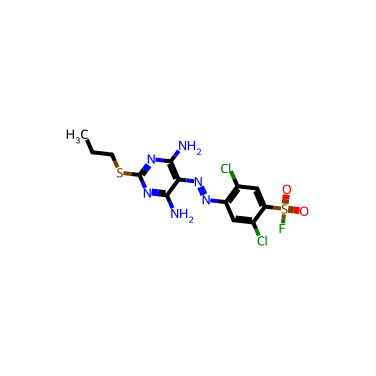 CCCSc1nc(N)c(N=Nc2cc(Cl)c(S(=O)(=O)F)cc2Cl)c(N)n1